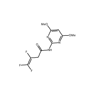 COc1cc(OC)nc(NC(=O)CC(F)=C(F)F)n1